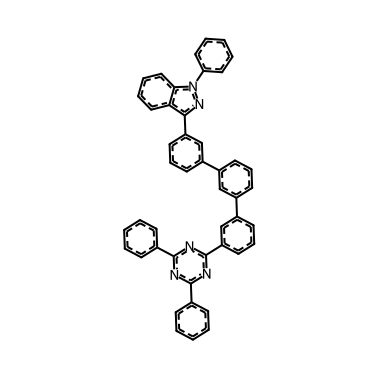 c1ccc(-c2nc(-c3ccccc3)nc(-c3cccc(-c4cccc(-c5cccc(-c6nn(-c7ccccc7)c7ccccc67)c5)c4)c3)n2)cc1